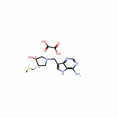 CSC[C@H]1CN(Cc2c[nH]c3c(N)ncnc23)C[C@@H]1O.O=C(O)C(=O)O